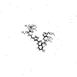 CCn1ncc(CN(C)C(=O)c2nc(-c3cn(CCCN(C)C(=O)OC(C)(C)C)cn3)nc3ccc(Cl)cc23)c1C